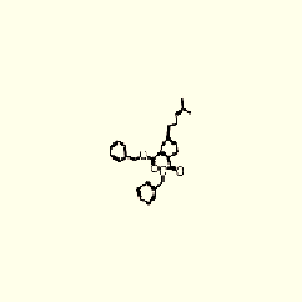 CC(C)=CCCC1=CCC(C(=O)OCc2ccccc2)=C(C(=O)OCc2ccccc2)C1